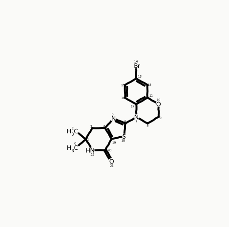 CC1(C)Cc2nc(N3CCOc4cc(Br)ccc43)sc2C(=O)N1